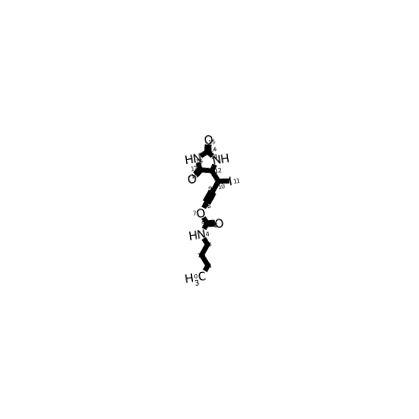 CCCCNC(=O)OC#CC(I)C1NC(=O)NC1=O